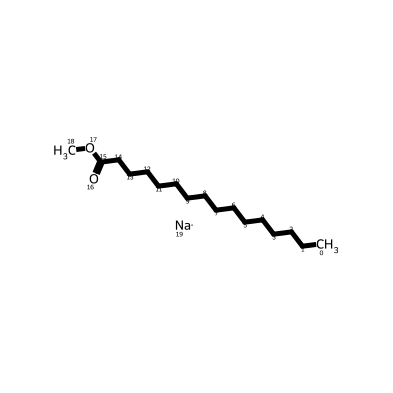 CCCCCCCCCCCCCCCC(=O)OC.[Na]